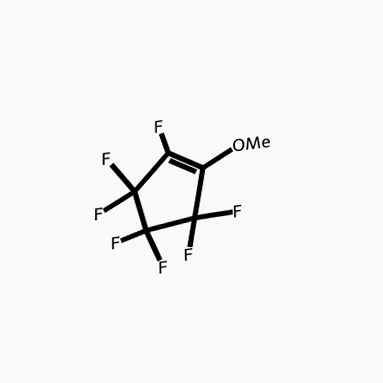 COC1=C(F)C(F)(F)C(F)(F)C1(F)F